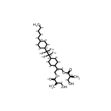 C=C(CO)C(=O)OCC(COC(=O)C(=C)CO)C1CCC(C(F)(F)C(F)(F)C2CCC(CCCCC)CC2)CC1